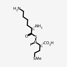 CSCC[C@@H](C(=O)O)N(I)SC(=O)[C@@H](N)CCCCN